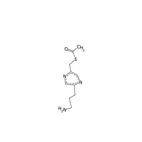 CC(=O)SCc1cnc(CCCN)cn1